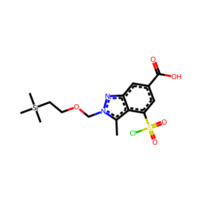 Cc1c2c(S(=O)(=O)Cl)cc(C(=O)O)cc2nn1COCC[Si](C)(C)C